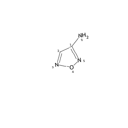 Nc1cnon1